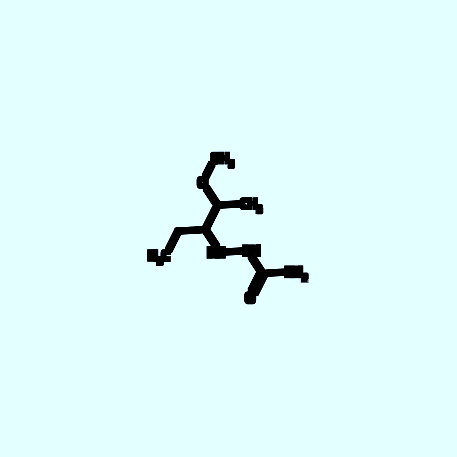 CCC(NNC(N)=O)C(C)O[SiH3]